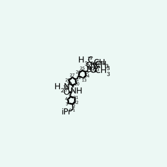 CC(C)Cc1ccc(C(=O)Nc2cc(-c3ccc(B4OC(C)(C)C(C)(C)O4)cc3)ccc2N)cc1